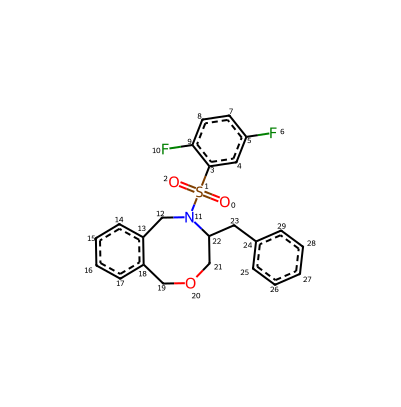 O=S(=O)(c1cc(F)ccc1F)N1Cc2ccccc2COCC1Cc1ccccc1